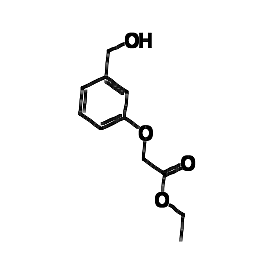 CCOC(=O)COc1cccc(CO)c1